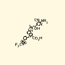 CC(Cc1ccc2c(c1)cc(C(=O)O)n2Cc1cccc(S(=O)(=O)NC(F)(F)F)c1)NCC(O)c1cnc(N)c(C#N)c1